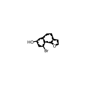 Oc1cc(Br)c2c(ccc3ccoc32)c1